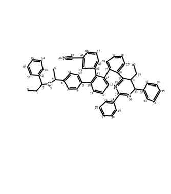 CCC(OC(C)c1ccc(-c2cccc(-c3ccccc3C3=NC(c4ccccc4)=NC(c4ccccc4)C3CC)c2-c2cccc(C#N)c2)cc1)c1ccccc1